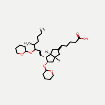 CCCCC(C)C(C=C[C@@H]1[C@H]2CC(=CCCCC(=O)O)C[C@@H]2C[C@H]1OC1CCCCO1)OC1CCCCO1